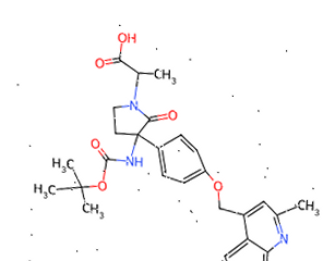 Cc1cc(COc2ccc(C3(NC(=O)OC(C)(C)C)CCN(C(C)C(=O)O)C3=O)cc2)c2ccccc2n1